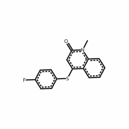 Cn1c(=O)cc(Sc2ccc(F)cc2)c2ccccc21